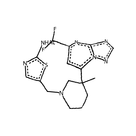 CC(=O)Nc1ncc(CN2CCCC(C)(c3cc(C(F)F)nc4ncnn34)C2)s1